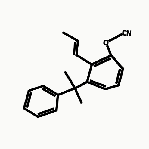 CC=Cc1c(OC#N)cccc1C(C)(C)c1ccccc1